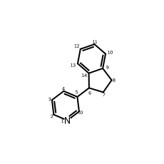 [c]1ncccc1C1CCc2ccccc21